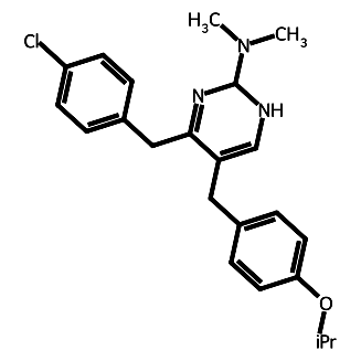 CC(C)Oc1ccc(CC2=CNC(N(C)C)N=C2Cc2ccc(Cl)cc2)cc1